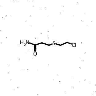 NC(=O)CCSCCCl